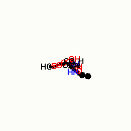 C#CCOCCOCCO[C@@](CC[C@H](C[C@H](O)CCNC(=O)Cc1ccc(-c2ccccc2)cc1)NC(=O)CO)(OC)C(=O)O